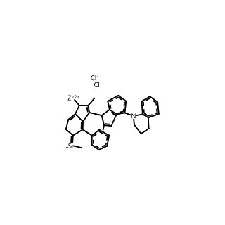 CC1=Cc2c(cccc2N2CCCc3ccccc32)C1C1=C(C)[CH]([Zr+2])C2=CCC(=[Si](C)C)C(c3ccccc3)=C21.[Cl-].[Cl-]